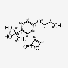 CCCOc1ccc(C(C)(C)O)cc1.O=C1C=CO1